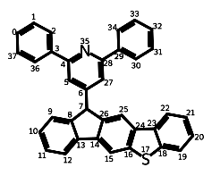 c1ccc(-c2cc(C3c4ccccc4-c4cc5sc6ccccc6c5cc43)cc(-c3ccccc3)n2)cc1